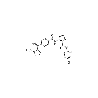 CC1CCCN1C(=N)c1ccc(C(=O)Nc2ccsc2C(=O)Nc2ccc(Cl)cn2)cc1